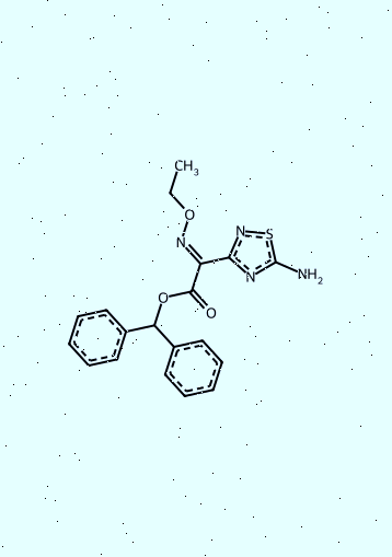 CCON=C(C(=O)OC(c1ccccc1)c1ccccc1)c1nsc(N)n1